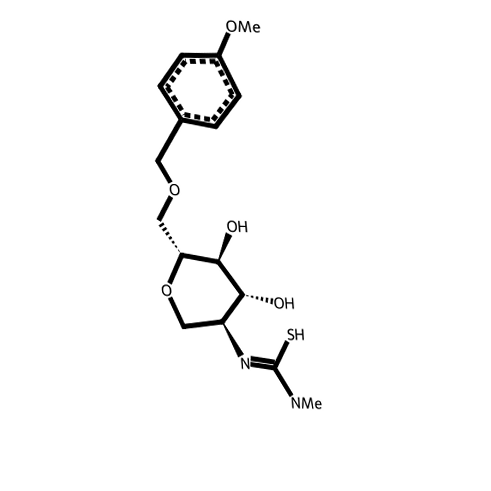 CN/C(S)=N/[C@H]1CO[C@H](COCc2ccc(OC)cc2)[C@@H](O)[C@@H]1O